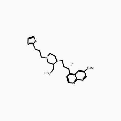 COc1ccc2nccc([C@@H](F)CC[C@@H]3CCN(CCSc4nccs4)C[C@@H]3CC(=O)O)c2c1